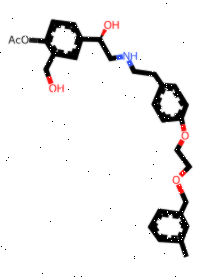 CC(=O)Oc1ccc([C@@H](O)CNCCc2ccc(OCCOCc3cccc(C)c3)cc2)cc1CO